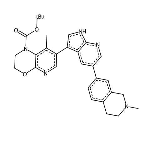 Cc1c(-c2c[nH]c3ncc(-c4ccc5c(c4)CN(C)CC5)cc23)cnc2c1N(C(=O)OC(C)(C)C)CCO2